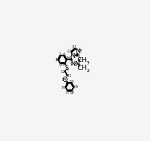 CN(C)/N=C(/c1ccccc1SCCOc1ccccc1)n1ccnc1